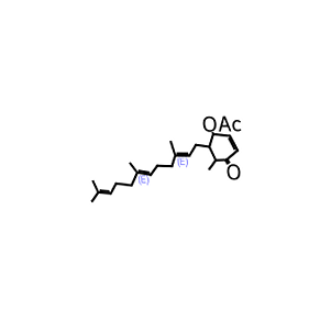 CC(=O)OC1C=CC(=O)C(C)C1C/C=C(\C)CC/C=C(\C)CCC=C(C)C